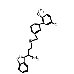 COc1ccc(Cl)cc1-c1cccc(CNCCC(N)c2nsc3ccccc23)c1